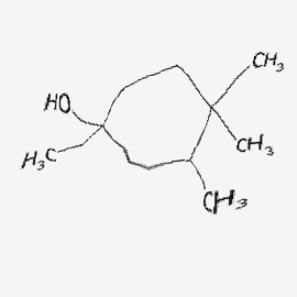 CC1CC(C)(O)CCC1(C)C